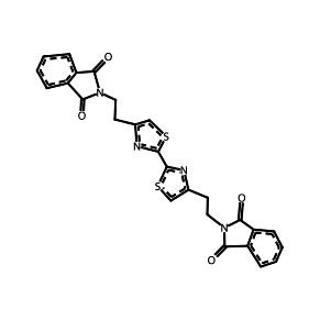 O=C1c2ccccc2C(=O)N1CCc1csc(-c2nc(CCN3C(=O)c4ccccc4C3=O)cs2)n1